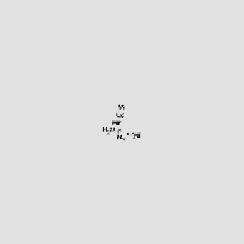 O.P.[Co].[Fe].[Mn].[Ni].[W]